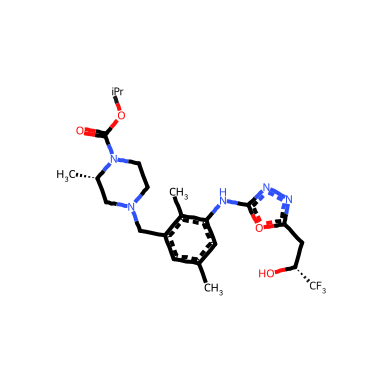 Cc1cc(CN2CCN(C(=O)OC(C)C)[C@@H](C)C2)c(C)c(Nc2nnc(C[C@@H](O)C(F)(F)F)o2)c1